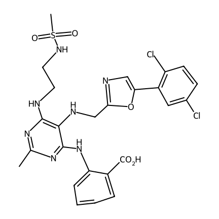 Cc1nc(NCCNS(C)(=O)=O)c(NCc2ncc(-c3cc(Cl)ccc3Cl)o2)c(Nc2ccccc2C(=O)O)n1